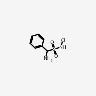 NC(c1ccccc1)S(=O)(=O)NCl